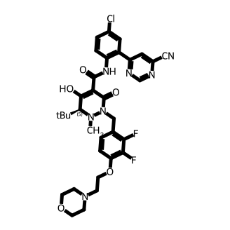 CN1[C@@H](C(C)(C)C)C(O)=C(C(=O)Nc2ccc(Cl)cc2-c2cc(C#N)ncn2)C(=O)N1Cc1ccc(OCCN2CCOCC2)c(F)c1F